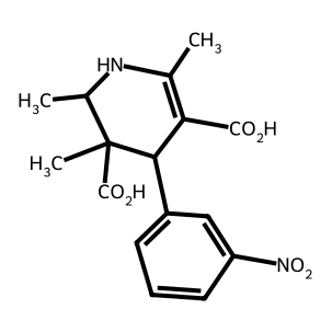 CC1=C(C(=O)O)C(c2cccc([N+](=O)[O-])c2)C(C)(C(=O)O)C(C)N1